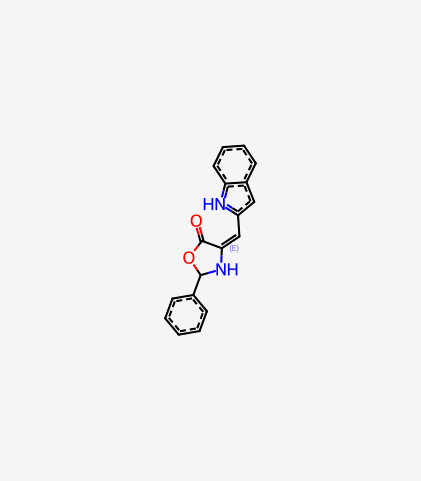 O=C1OC(c2ccccc2)N/C1=C/c1cc2ccccc2[nH]1